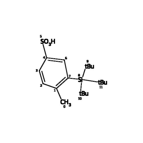 Cc1ccc(S(=O)(=O)O)cc1[Si](C(C)(C)C)(C(C)(C)C)C(C)(C)C